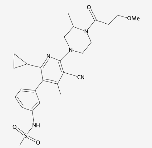 COCCC(=O)N1CCN(c2nc(C3CC3)c(-c3cccc(NS(C)(=O)=O)c3)c(C)c2C#N)CC1C